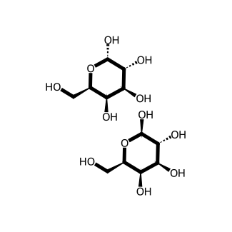 OC[C@H]1O[C@@H](O)[C@H](O)[C@@H](O)[C@H]1O.OC[C@H]1O[C@H](O)[C@H](O)[C@@H](O)[C@H]1O